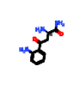 NC(=O)[C@@H](N)CC(=O)c1ccccc1N